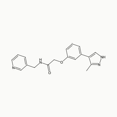 Cc1n[nH]cc1-c1c[c]cc(OCC(=O)NCc2cccnc2)c1